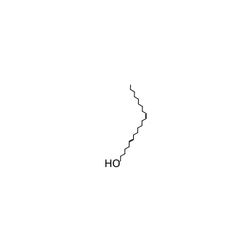 CCCCCCCC/C=C\CCCCCC=CCCCCCO